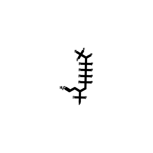 C=CCC(CC(F)(F)C(F)(F)C(F)(F)C(F)(F)C(F)C(F)(F)F)C(F)(F)F